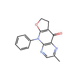 Cc1cnc2c(n1)c(=O)c1c(n2-c2ccccc2)OCC1